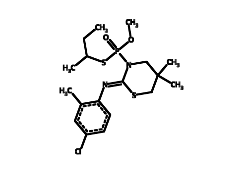 CCC(C)SP(=O)(OC)N1CC(C)(C)CSC1=Nc1ccc(Cl)cc1C